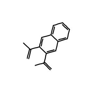 C=C(C)c1cc2ccccc2cc1C(=C)C